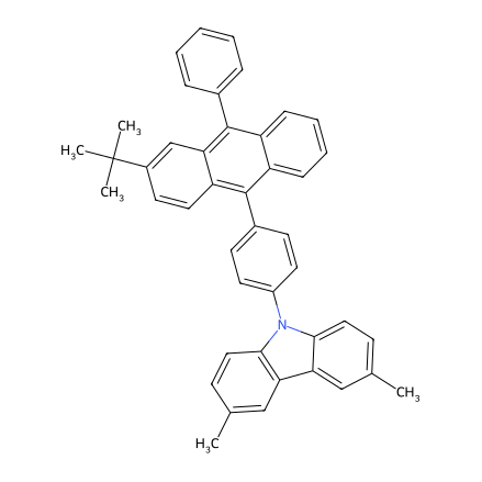 Cc1ccc2c(c1)c1cc(C)ccc1n2-c1ccc(-c2c3ccccc3c(-c3ccccc3)c3cc(C(C)(C)C)ccc23)cc1